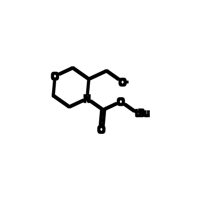 CC(C)(C)OC(=O)N1CCOCC1C[O]